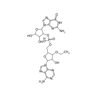 CCOC1C(COP(=O)(O)OC2C(O)C(O)OC2n2cnc3c(=O)[nH]c(N)nc32)OC(n2cnc3c(N)ncnc32)C1O